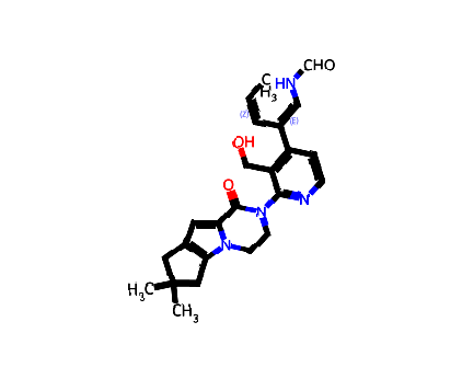 C/C=C\C(=C/NC=O)c1ccnc(N2CCn3c(cc4c3CC(C)(C)C4)C2=O)c1CO